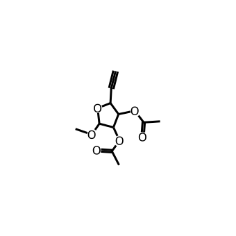 C#CC1OC(OC)C(OC(C)=O)C1OC(C)=O